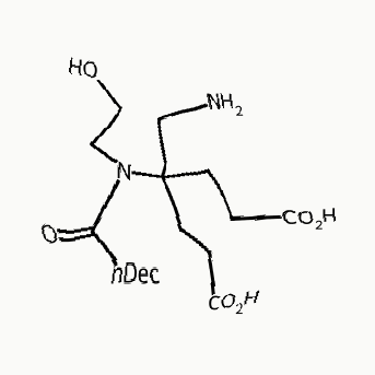 CCCCCCCCCCC(=O)N(CCO)C(CN)(CCC(=O)O)CCC(=O)O